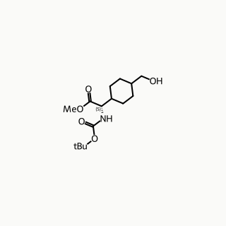 COC(=O)[C@@H](NC(=O)OC(C)(C)C)C1CCC(CO)CC1